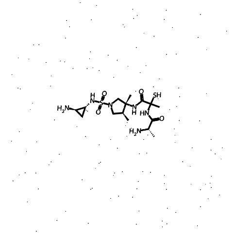 C[C@H](N)C(=O)NC(C)(S)C(=O)N[C@@]1(C)CN(S(=O)(=O)N[C@@H]2C[C@H]2N)C[C@@H]1C